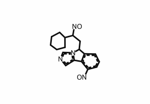 O=Nc1cccc2c1-c1cncn1C2CC(N=O)C1CCCCC1